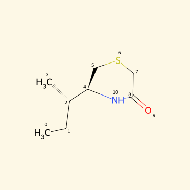 CC[C@H](C)[C@H]1CSCC(=O)N1